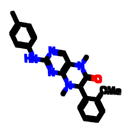 COc1ccccc1C1C(=O)N(C)c2cnc(Nc3ccc(C)cc3)nc2N1C